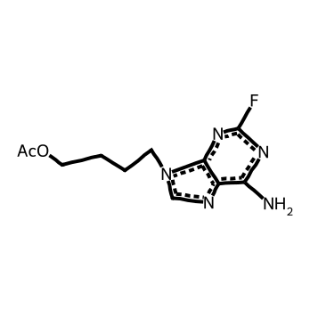 CC(=O)OCCCCn1cnc2c(N)nc(F)nc21